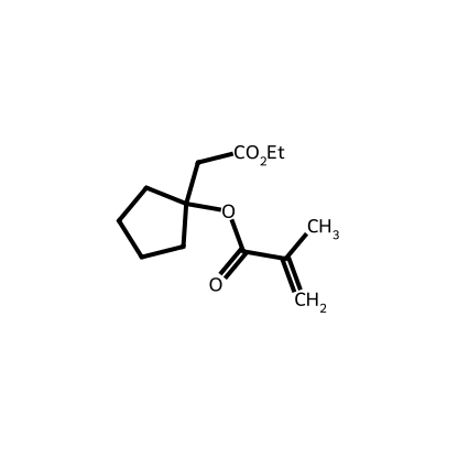 C=C(C)C(=O)OC1(CC(=O)OCC)CCCC1